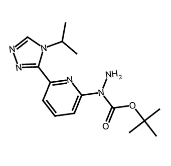 CC(C)n1cnnc1-c1cccc(N(N)C(=O)OC(C)(C)C)n1